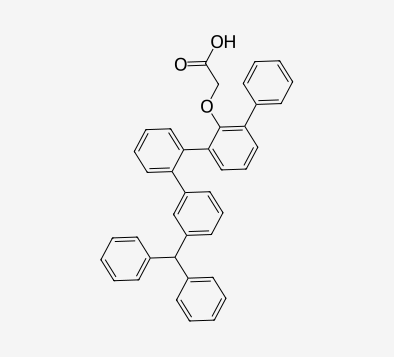 O=C(O)COc1c(-c2ccccc2)cccc1-c1ccccc1-c1cccc(C(c2ccccc2)c2ccccc2)c1